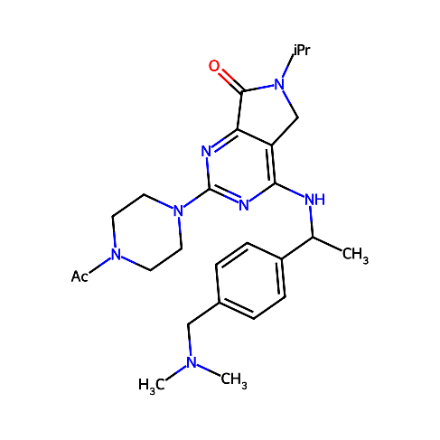 CC(=O)N1CCN(c2nc(NC(C)c3ccc(CN(C)C)cc3)c3c(n2)C(=O)N(C(C)C)C3)CC1